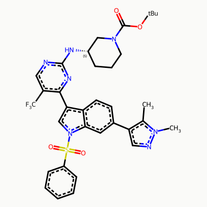 Cc1c(-c2ccc3c(-c4nc(N[C@H]5CCCN(C(=O)OC(C)(C)C)C5)ncc4C(F)(F)F)cn(S(=O)(=O)c4ccccc4)c3c2)cnn1C